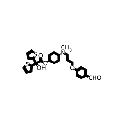 CN(CCCOc1ccc(C=O)cc1)[C@H]1CC[C@H](OC(=O)C(O)(c2cccs2)c2cccs2)CC1